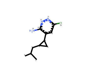 CC(C)CC1CC1c1cc(Cl)nnc1N